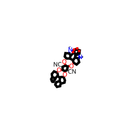 Cn1c2ccccc2c2c3c(ccc21)oc1c(C#N)c2oc4ccc5ccccc5c4c4c(ccc5ccccc54)oc2c(C#N)c1oc1ccc2c(c4ccccc4n2C)c13